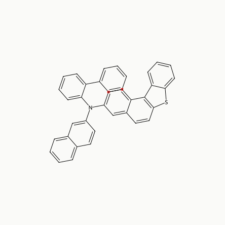 c1ccc(-c2ccccc2N(c2ccc3ccccc3c2)c2ccc3c(ccc4sc5ccccc5c43)c2)cc1